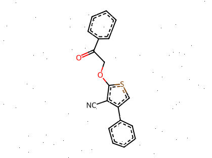 N#Cc1c(-c2ccccc2)csc1OCC(=O)c1ccccc1